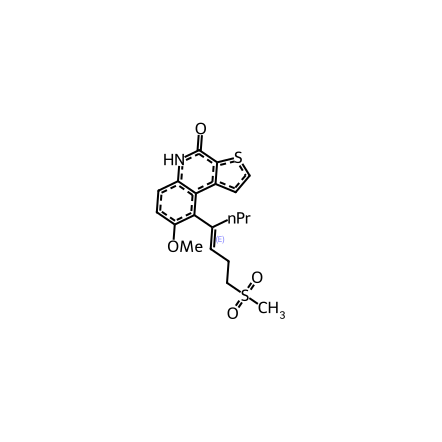 CCC/C(=C\CCS(C)(=O)=O)c1c(OC)ccc2[nH]c(=O)c3sccc3c12